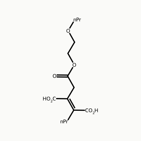 CCCOCCOC(=O)C/C(C(=O)O)=C(/CCC)C(=O)O